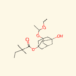 CCOC(C)OC12CC3CC(O)(CC(OC(=O)C(C)(C)CC)(C3)C1)C2